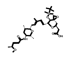 CO[C@@H](C)C=CC(=O)N[C@@H]1C[C@H](C)[C@H](CC=C(C)C=C[C@H]2O[C@H](CC(=O)O)C[C@@]3(CO3)[C@@H]2O[Si](C)(C)C(C)(C)C)O[C@@H]1C